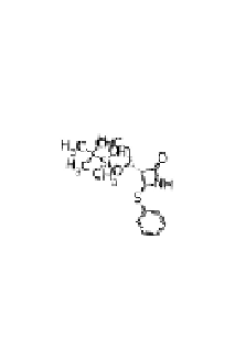 CCC(O[Si](C)(C)C(C)(C)C)[C@@H]1C(=O)N[C@H]1Sc1ccccc1